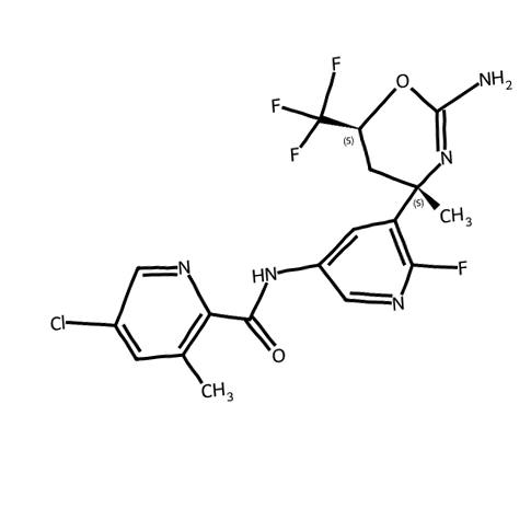 Cc1cc(Cl)cnc1C(=O)Nc1cnc(F)c([C@]2(C)C[C@@H](C(F)(F)F)OC(N)=N2)c1